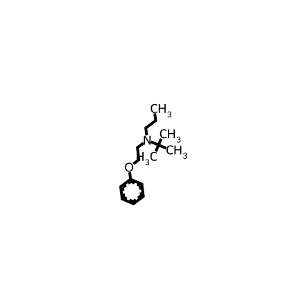 CCCN(CCOc1ccccc1)C(C)(C)C